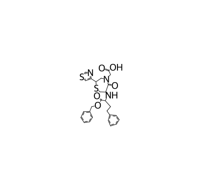 O=C(O)CN1CC(c2cscn2)SCC(NC(CCc2ccccc2)C(=O)OCc2ccccc2)C1=O